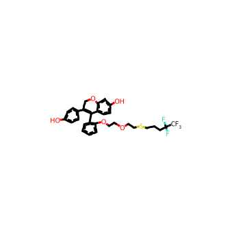 Oc1ccc(C2=C(c3ccccc3OCCOCCSCCCC(F)(F)C(F)(F)F)c3ccc(O)cc3OC2)cc1